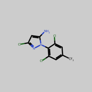 Nc1cc(Cl)nn1-c1c(Cl)cc(C(F)(F)F)cc1Cl